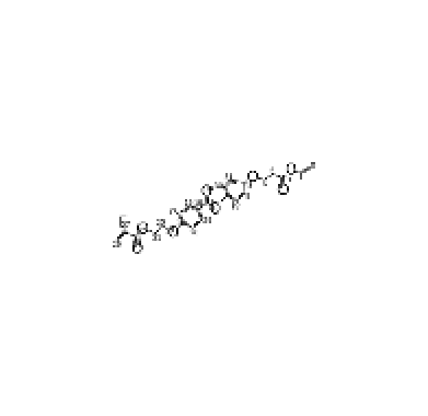 C=COC(=O)CCOc1ccc(OC(=O)c2ccc(OCCOC(=O)C(=C)F)cc2)cc1